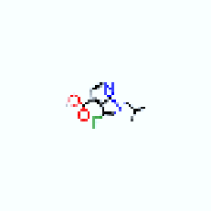 COC(=O)c1ccnc2c1c(F)cn2CC(C)C